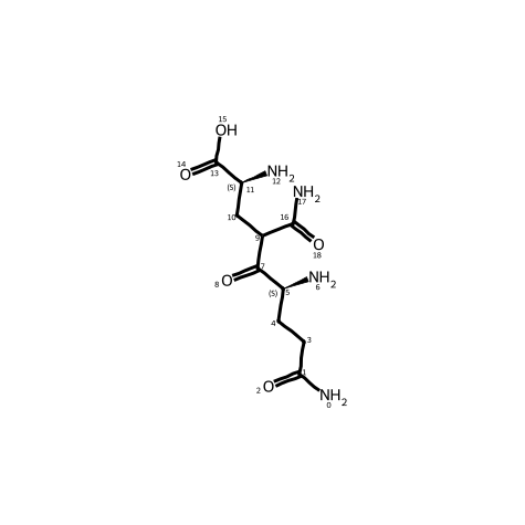 NC(=O)CC[C@H](N)C(=O)C(C[C@H](N)C(=O)O)C(N)=O